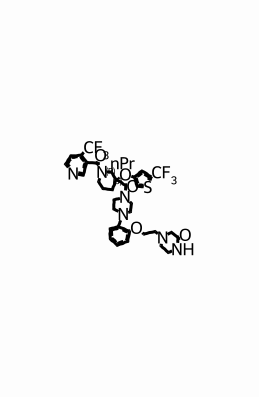 CCC[C@H]1N(C(=O)c2cnccc2C(F)(F)F)CCC[C@@]1(Oc1csc(C(F)(F)F)c1)C(=O)N1CCN(c2ccccc2OCCN2CCNC(=O)C2)CC1